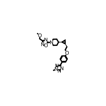 COCc1noc(N2CCC([C@H]3C[C@H]3CCOc3ccc(-c4nnn(C)n4)cc3)CC2)n1